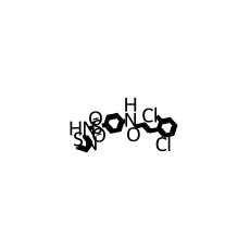 O=C(/C=C/c1c(Cl)cccc1Cl)Nc1ccc(S(=O)(=O)Nc2nccs2)cc1